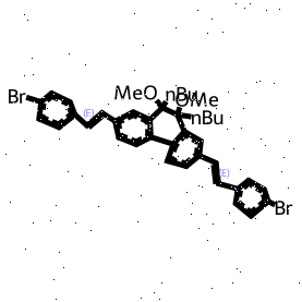 CCCCC1(OC)c2cc(/C=C/c3ccc(Br)cc3)ccc2-c2ccc(/C=C/c3ccc(Br)cc3)cc2C1(CCCC)OC